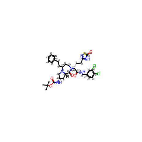 CC(C)(C)OC(=O)N[C@@H]1C[C@H]2C(=O)N([C@H](CCc3nsc(=O)[nH]3)C(=O)NCc3ccc(Cl)c(Cl)c3)CCC(CCc3ccccc3)N2C1